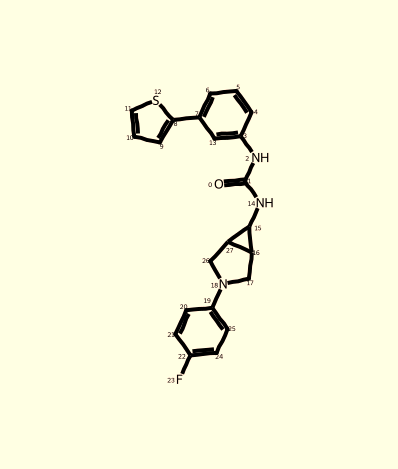 O=C(Nc1cccc(-c2cccs2)c1)NC1C2CN(c3ccc(F)cc3)CC21